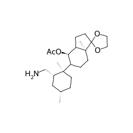 CC(=O)O[C@H]1C2CCC3(OCCO3)[C@@]2(C)CCC1[C@@]1(C)CC[C@H](C)C[C@@H]1CN